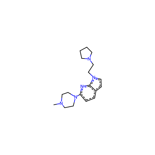 CN1CCN(c2ccc3ccn(CCN4CCCC4)c3n2)CC1